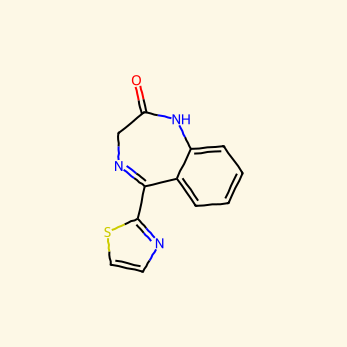 O=C1CN=C(c2nccs2)c2ccccc2N1